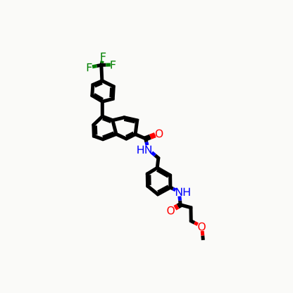 COCCC(=O)Nc1cccc(CNC(=O)c2ccc3c(-c4ccc(C(F)(F)F)cc4)cccc3c2)c1